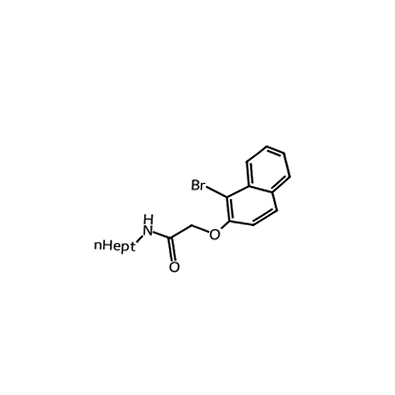 CCCCCCCNC(=O)COc1ccc2ccccc2c1Br